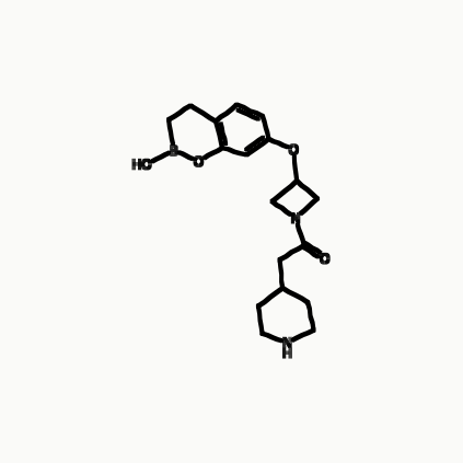 O=C(CC1CCNCC1)N1CC(Oc2ccc3c(c2)OB(O)CC3)C1